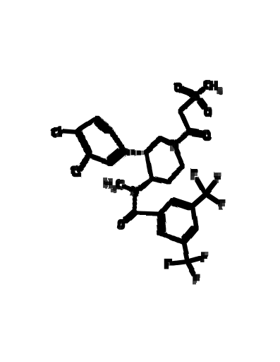 CN(C(=O)c1cc(C(F)(F)F)cc(C(F)(F)F)c1)[C@@H]1CCN(C(=O)CS(C)(=O)=O)C[C@H]1c1ccc(Cl)c(Cl)c1